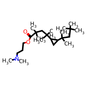 CN(C)CCCOC(=O)C(C)(C)CC(C)(C)C1CC1C(C)(C)CC(C)(C)C